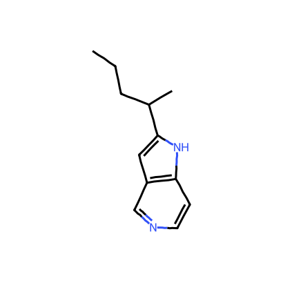 CCCC(C)c1cc2cnccc2[nH]1